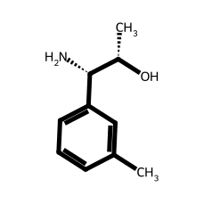 Cc1cccc([C@H](N)[C@H](C)O)c1